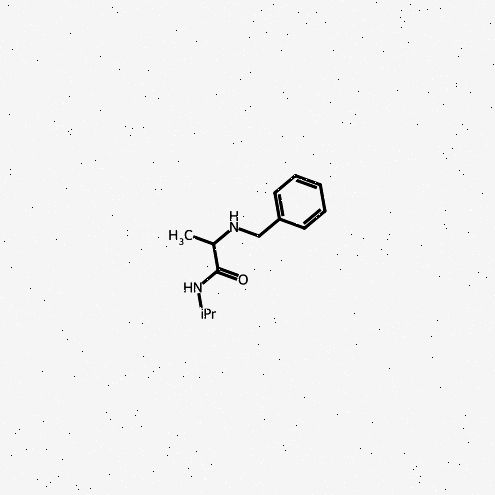 CC(C)NC(=O)C(C)NCc1ccccc1